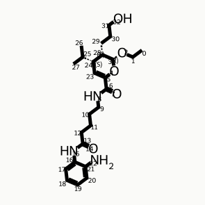 CCO[C@@H]1OC(C(=O)NCCCCC(=O)Nc2ccccc2N)=C[C@H](C(C)C)[C@@H]1CCCO